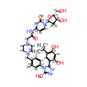 CC(C)c1cc(-c2nnc(O)n2-c2ccc(CN3CCN(CC(=O)Nc4ccn(C5O[C@H](CO)[C@@H](O)C5(F)F)c(=O)n4)CC3)c(F)c2)c(O)cc1O